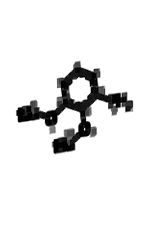 CC(C)(C)Oc1cccc(P)c1OC(C)(C)C